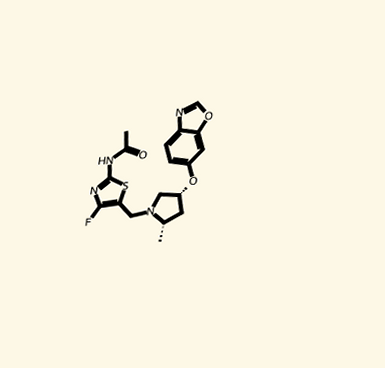 CC(=O)Nc1nc(F)c(CN2C[C@H](Oc3ccc4ncoc4c3)C[C@@H]2C)s1